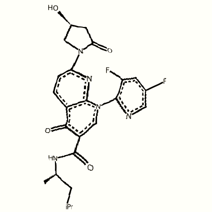 CC(C)C[C@@H](C)NC(=O)c1cn(-c2ncc(F)cc2F)c2nc(N3C[C@@H](O)CC3=O)ccc2c1=O